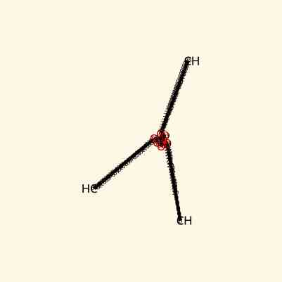 C#CC#CC#CC#CC#CC#CC#CC#CC#CC#CC#CC#CC#CC#COC(=O)CC(CC(=O)OC#CC#CC#CC#CC#CC#CC#CC#CC#CC#CC#CC#CC#CC#C)(OC=O)C(=O)OC#CC#CC#CC#CC#CC#CC#CC#CC#CC#CC#CC#CC#CC#C